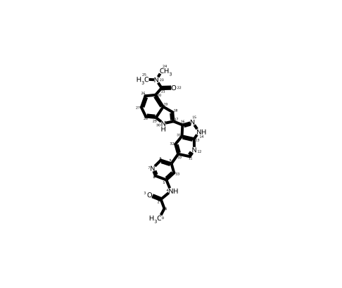 CCC(=O)Nc1cncc(-c2cnc3[nH]nc(-c4cc5c(C(=O)N(C)C)cccc5[nH]4)c3c2)c1